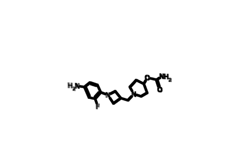 NC(=O)OC1CCN(CC2CN(c3ccc(N)cc3F)C2)CC1